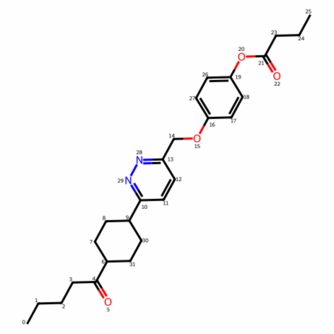 CCCCC(=O)C1CCC(c2ccc(COc3ccc(OC(=O)CCC)cc3)nn2)CC1